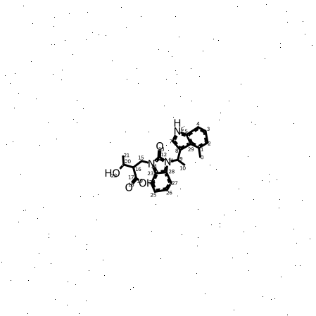 Cc1cccc2[nH]cc(C(C)n3c(=O)n(CC(C(=O)O)C(C)O)c4ccccc43)c12